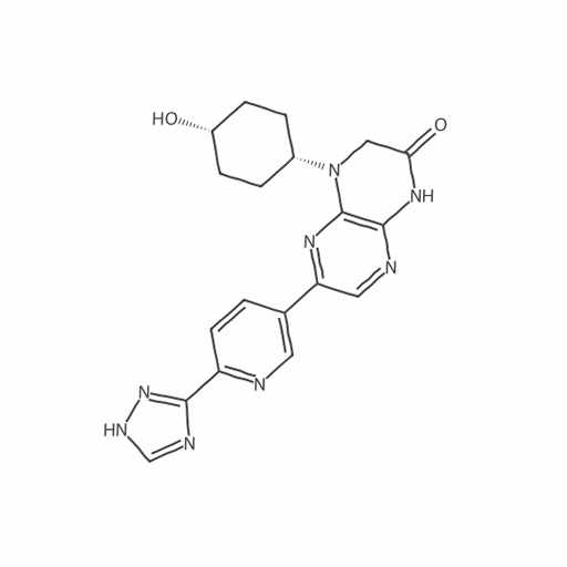 O=C1CN([C@H]2CC[C@@H](O)CC2)c2nc(-c3ccc(-c4nc[nH]n4)nc3)cnc2N1